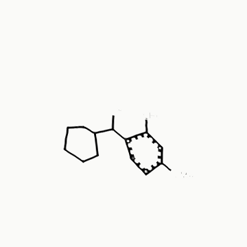 COc1ccc(C(C(C)C)C2CCCCC2)c(C=O)c1